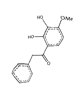 COc1ccc(C(=O)Cc2ccccc2)c(O)c1O